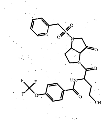 CCCC(NC(=O)c1ccc(OC(F)(F)F)cc1)C(=O)N1CCC2C1C(=O)CN2S(=O)(=O)Cc1ccccn1